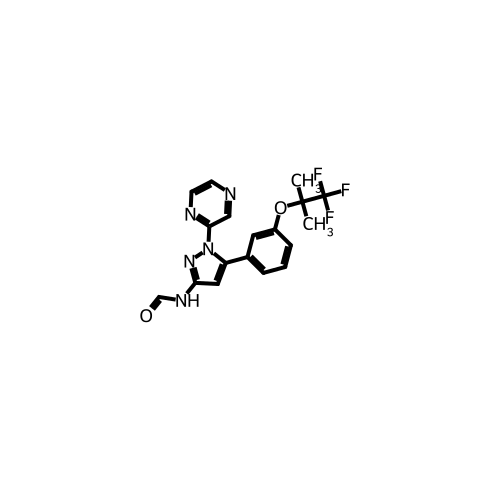 CC(C)(Oc1cccc(-c2cc(NC=O)nn2-c2cnccn2)c1)C(F)(F)F